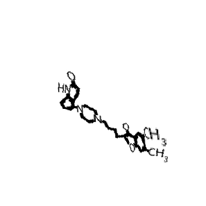 Cc1cc2occ(CCCCN3CCN(c4cccc5[nH]c(=O)ccc45)CC3)c(=O)c2cc1C